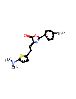 CC(=O)Nc1ccc(C2=N/C(=C\Cc3ccc(N(C)C)s3)C(=O)O2)cc1